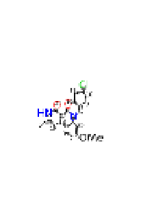 COc1cccc(N(Cc2ccc(Cl)cc2)C(=O)c2ccc(C)[nH]c2=O)c1